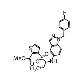 C=CC(Nc1ccc2c(cnn2Cc2ccc(F)cc2)c1)S(=O)(=O)c1ccsc1C(=O)OC